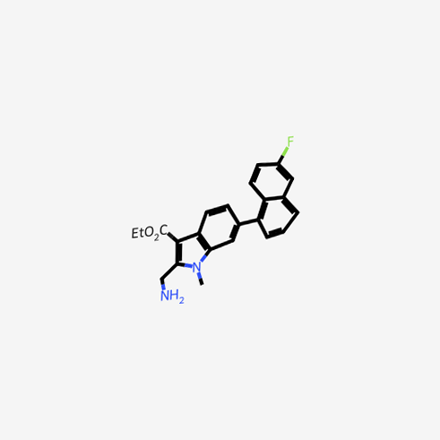 CCOC(=O)c1c(CN)n(C)c2cc(-c3cccc4cc(F)ccc34)ccc12